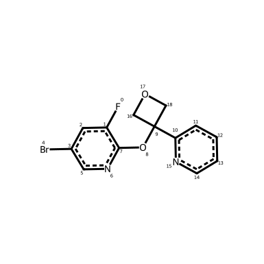 Fc1cc(Br)cnc1OC1(c2ccccn2)COC1